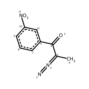 CC(=[N+]=[N-])C(=O)c1cccc([N+](=O)[O-])c1